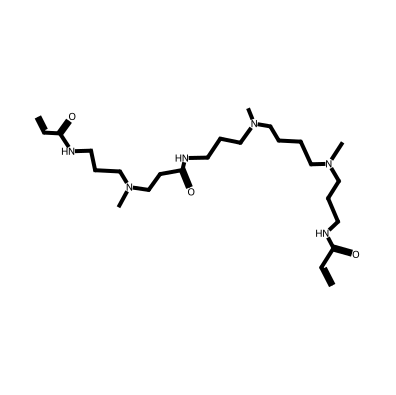 C=CC(=O)NCCCN(C)CCCCN(C)CCCNC(=O)CCN(C)CCCNC(=O)C=C